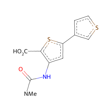 CNC(=O)Nc1cc(-c2ccsc2)sc1C(=O)O